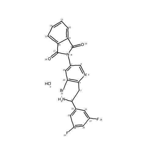 Cl.NC(Cc1ncc(N2C(=O)c3ccccc3C2=O)cc1Br)c1cc(F)cc(F)c1